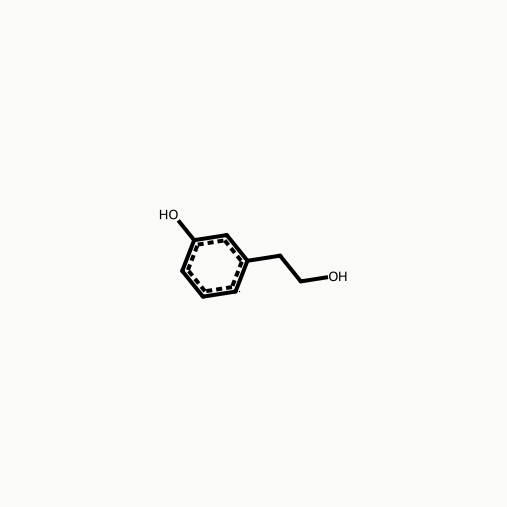 OCCc1[c]ccc(O)c1